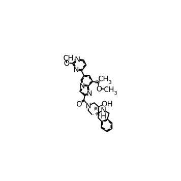 COc1nccc(-c2cc([C@@H](C)OC)c3nc(C(=O)N4CC[C@]5(Cc6ccccc6CN5)[C@H](O)C4)cn3c2)n1